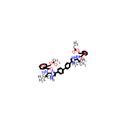 CC(=O)OCC1(C(=O)N[C@H](c2nc(-c3ccc(-c4ccc(-c5c[nH]c([C@@H](NC(=O)C6(COC(C)=O)OC7CCC6CC7)C(C)(C)C)n5)cc4)cc3)c[nH]2)C(C)(C)C)OC2CCC1CC2